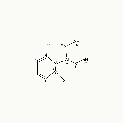 Cc1cccc(C)c1N(SS)SS